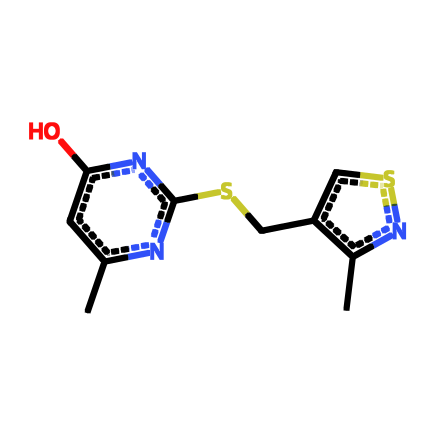 Cc1cc(O)nc(SCc2csnc2C)n1